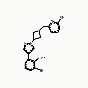 CCc1cccc(-c2cnn(C3CN(Cc4cccc(C#N)n4)C3)c2)c1OC